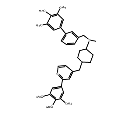 COc1cc(-c2cccc(CN(C)C3CCN(Cc4ccnc(-c5cc(OC)c(OC)c(OC)c5)c4)CC3)c2)cc(OC)c1OC